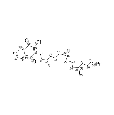 CC(=CCC1=C(Cl)C(=O)c2ccccc2C1=O)CCC[C@H](C)CCC[C@H](C)CCCC(C)C